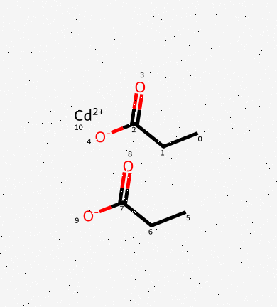 CCC(=O)[O-].CCC(=O)[O-].[Cd+2]